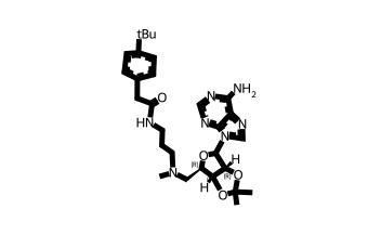 CN(CCCNC(=O)Cc1ccc(C(C)(C)C)cc1)C[C@H]1OC(n2cnc3c(N)ncnc32)[C@@H]2OC(C)(C)O[C@H]12